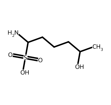 CC(O)CCCC(N)S(=O)(=O)O